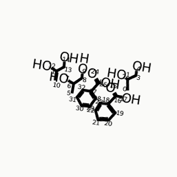 CC(O)CO.CC(O)CO.CC(O)CO.O=C(O)c1ccccc1.O=C(O)c1ccccc1